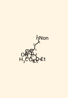 CCCCCCCCCCCCOC(COCC)(OCC)[N+](C)(C)[O-]